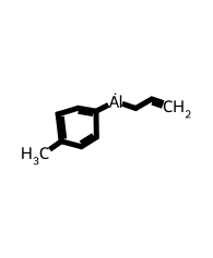 C=C[CH2][Al][c]1ccc(C)cc1